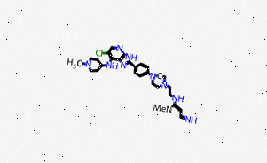 CN/C(=C\C=N)NCCN1CCN(c2ccc(-c3nc4c(NC5CCN(C)CC5)c(Cl)cnc4[nH]3)cc2)CC1